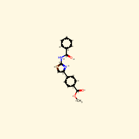 COC(=O)c1ccc(-c2csc(NC(=O)c3ccccc3)n2)cc1